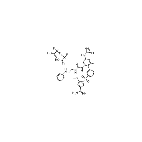 CSc1sc(C(=N)N)cc1S(=O)(=O)c1cccc(-c2c(C)cc(NC(=N)N)cc2NC(=O)NCCNc2ccccc2)c1.O=C(O)C(F)(F)F.O=C(O)C(F)(F)F